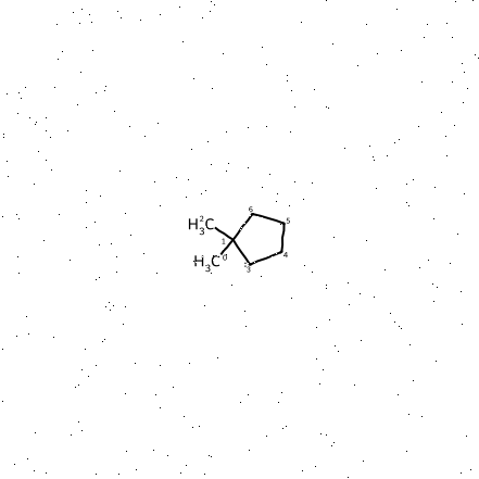 CC1(C)[C]CCC1